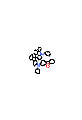 c1ccc(N(c2ccc3c(c2)C2(c4ccccc4-3)c3ccccc3-c3c(N(c4ccccc4)c4ccccc4)cccc32)c2ccc3c(c2)oc2ccccc23)cc1